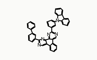 c1ccc(-c2cccc(-c3ncc4c5ccccc5c5cnc(-c6cccc(-n7c8ccccc8c8ccccc87)c6)nc5c4n3)c2)cc1